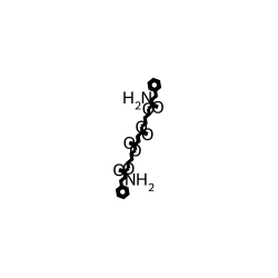 N[C@@H](Cc1ccccc1)C(=O)OCCCOC(=O)/C=C/C(=O)OCCCOC(=O)[C@@H](N)Cc1ccccc1